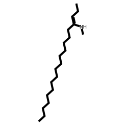 CCC=C(CCCCCCCCCCCCCCC)NC